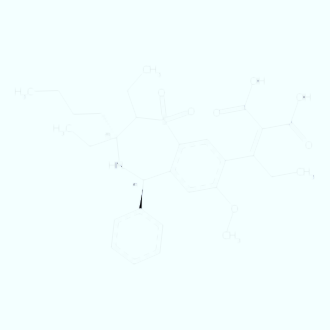 CCCC[C@@]1(CC)N[C@H](c2ccccc2)c2cc(OC)c(C(CC)=C(C(=O)O)C(=O)O)cc2S(=O)(=O)C1CC